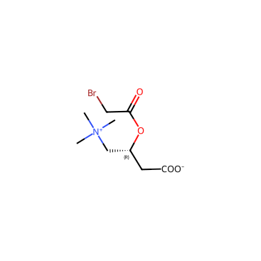 C[N+](C)(C)C[C@@H](CC(=O)[O-])OC(=O)CBr